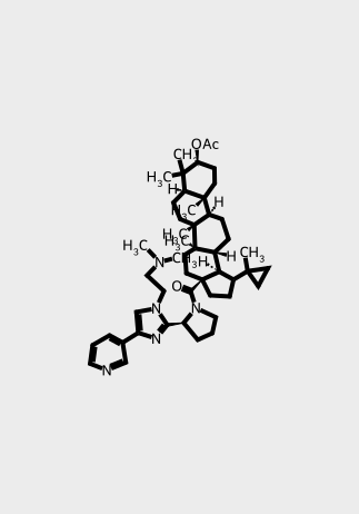 CC(=O)O[C@H]1CC[C@]2(C)[C@H]3CC[C@@H]4[C@H]5C(C6(C)CC6)CC[C@]5(C(=O)N5CCC[C@H]5c5nc(-c6cccnc6)cn5CCN(C)C)CC[C@@]4(C)[C@]3(C)CC[C@H]2C1(C)C